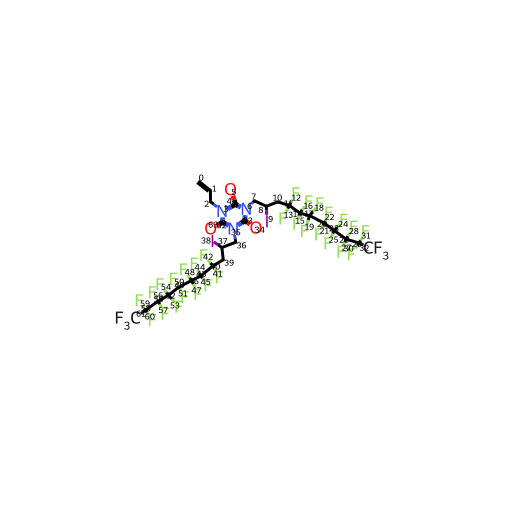 C=CCn1c(=O)n(CC(I)CC(F)(F)C(F)(F)C(F)(F)C(F)(F)C(F)(F)C(F)(F)C(F)(F)C(F)(F)F)c(=O)n(CC(I)CC(F)(F)C(F)(F)C(F)(F)C(F)(F)C(F)(F)C(F)(F)C(F)(F)C(F)(F)F)c1=O